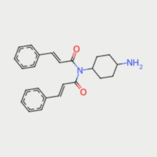 NC1CCC(N(C(=O)C=Cc2ccccc2)C(=O)C=Cc2ccccc2)CC1